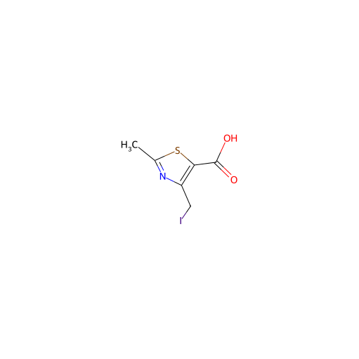 Cc1nc(CI)c(C(=O)O)s1